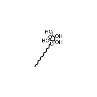 CCCCCCCCCCCCO[C@H]1C(O)O[C@H](CO)[C@@H](O)[C@@H]1O